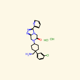 Cl.Cl.NCC1(c2cccc(Cl)c2)CCC(N2Cc3nnc(-c4ccccn4)n3CC2=O)CC1